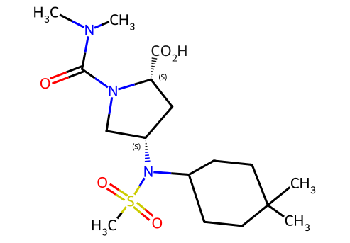 CN(C)C(=O)N1C[C@@H](N(C2CCC(C)(C)CC2)S(C)(=O)=O)C[C@H]1C(=O)O